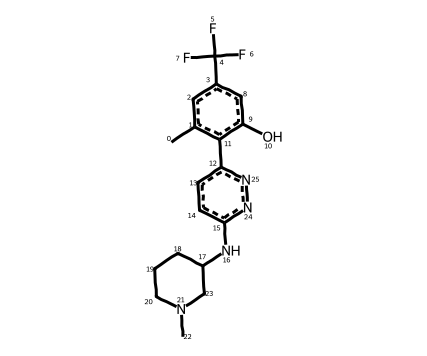 Cc1cc(C(F)(F)F)cc(O)c1-c1ccc(NC2CCCN(C)C2)nn1